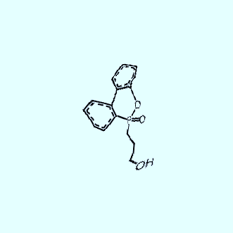 O=P1(CCCO)Oc2ccccc2-c2ccccc21